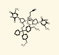 COc1ccc(C(OC[C@H]2O[C@@H](n3cc(C)c(=O)[nH]c3=O)C[C@@H]2P(=O)(OCCC#N)OC[C@H]2O[C@@H](n3cc(C)c(=O)[nH]c3=O)C[C@@H]2O)(c2ccccc2)c2ccc(OC)cc2)cc1